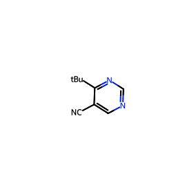 CC(C)(C)c1ncncc1C#N